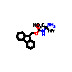 CCCC(N)(NC(=O)OCC1c2ccccc2-c2ccccc21)C(=O)O